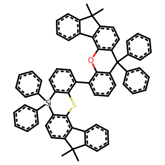 CC1(C)c2ccccc2-c2c1ccc1c2Oc2c(-c3cccc4c3Sc3c(ccc5c3-c3ccccc3C5(C)C)[Si]4(c3ccccc3)c3ccccc3)cccc2C1(c1ccccc1)c1ccccc1